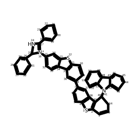 C1=Cc2sc3ccc(-c4ccc5sc6cc([N+]7=C(c8ccccc8)NC7c7ccccc7)ccc6c5c4)cc3c2C(n2c3ccccc3c3ccccc32)C1